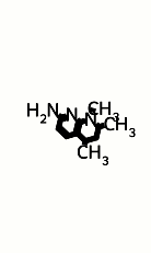 CC1CC(C)N(C)c2nc(N)ccc21